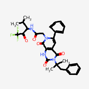 CC(C)C(NC(=O)Cn1c(-c2ccccc2)cc2c(=O)n(C(C)(C)Cc3ccccc3)c(=O)[nH]c2c1=O)C(=O)C(F)(F)F